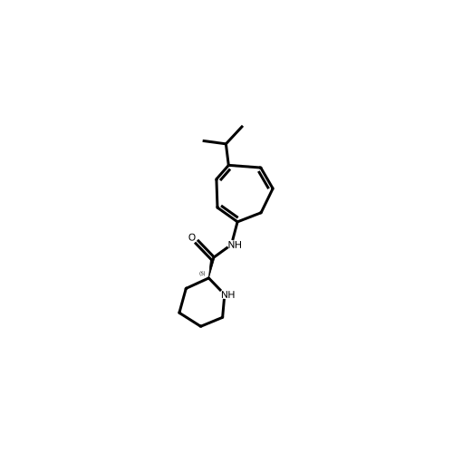 CC(C)C1=CC=C(NC(=O)[C@@H]2CCCCN2)CC=C1